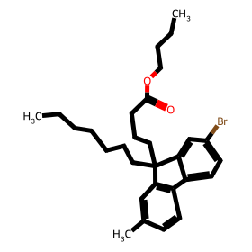 CCCCCCCC1(CCCC(=O)OCCCC)c2cc(C)ccc2-c2ccc(Br)cc21